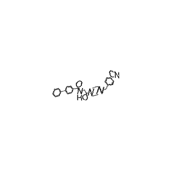 N#Cc1ccc(CN2CCN(C(=O)CNC(=O)c3ccc(-c4ccccc4)cc3)CC2)cc1